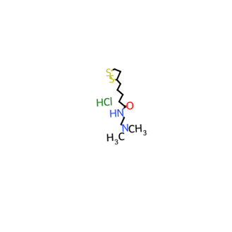 CN(C)CCNC(=O)CCCCC1CCSS1.Cl